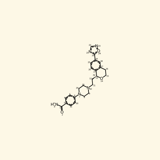 NC(=O)c1ccc(N2CCN(CC[C@@H]3OCCc4cc(-c5ncno5)ccc43)CC2)cc1